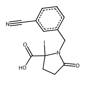 N#Cc1cccc(CN2C(=O)CCC2(I)C(=O)O)c1